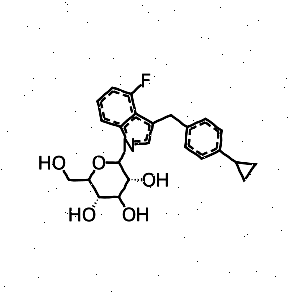 OCC1OC(n2cc(Cc3ccc(C4CC4)cc3)c3c(F)cccc32)[C@H](O)C(O)[C@@H]1O